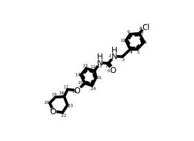 O=C(NCc1ccc(Cl)cc1)Nc1ccc(OCC2CCOCC2)cc1